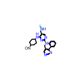 O=NC1CCC(Nc2nc(NCc3cncnc3-c3ccccc3)ncc2CNF)CC1